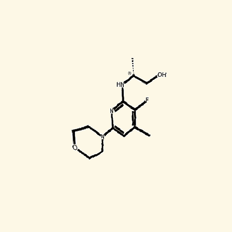 Cc1cc(N2CCOCC2)nc(N[C@H](C)CO)c1F